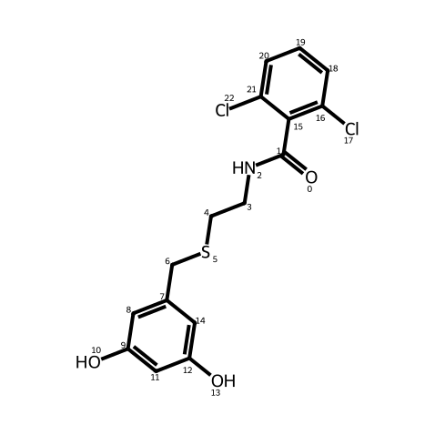 O=C(NCCSCc1cc(O)cc(O)c1)c1c(Cl)cccc1Cl